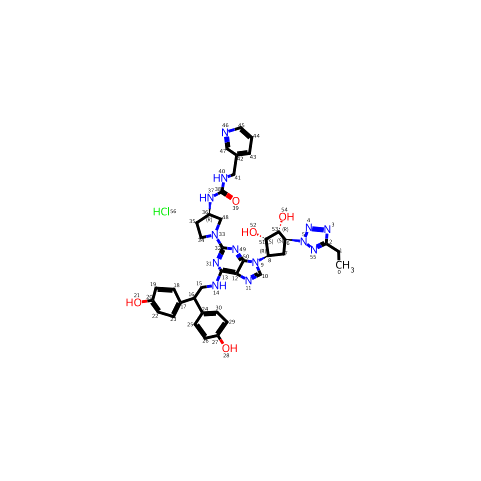 CCc1nnn([C@H]2C[C@@H](n3cnc4c(NCC(c5ccc(O)cc5)c5ccc(O)cc5)nc(N5CC[C@@H](NC(=O)NCc6cccnc6)C5)nc43)[C@H](O)[C@@H]2O)n1.Cl